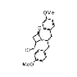 COc1ccc(CC(Cc2ccc(OC)cc2)N2C(=O)CC2CO)cc1